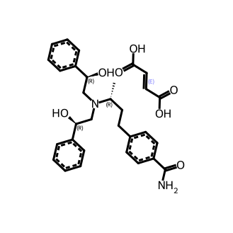 C[C@H](CCc1ccc(C(N)=O)cc1)N(C[C@H](O)c1ccccc1)C[C@H](O)c1ccccc1.O=C(O)/C=C/C(=O)O